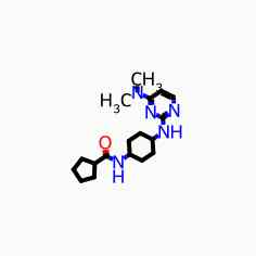 CN(C)c1ccnc(NC2CCC(NC(=O)C3CCCC3)CC2)n1